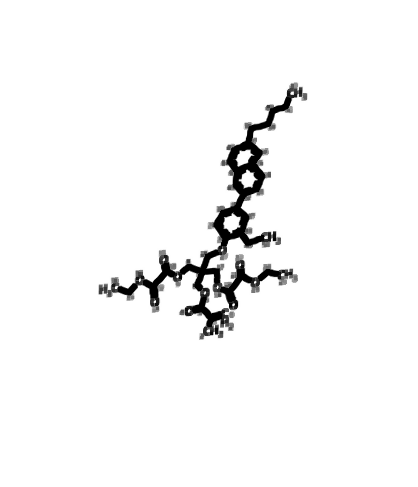 C=C(C)C(=O)OCC(COC(=O)C(=O)OCC)(COC(=O)C(=O)OCC)COc1ccc(-c2ccc3cc(CCCCC)ccc3c2)cc1CC